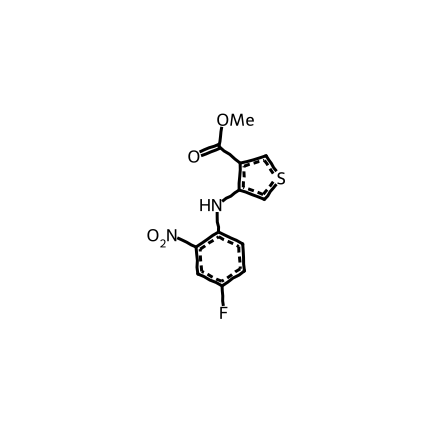 COC(=O)c1cscc1Nc1ccc(F)cc1[N+](=O)[O-]